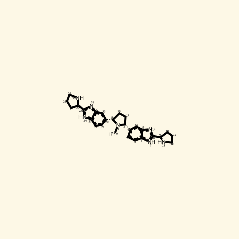 CC(C)N1[C@@H](c2ccc3[nH]c(C4CCCN4)nc3c2)CC[C@H]1c1ccc2[nH]c(C3CCCN3)nc2c1